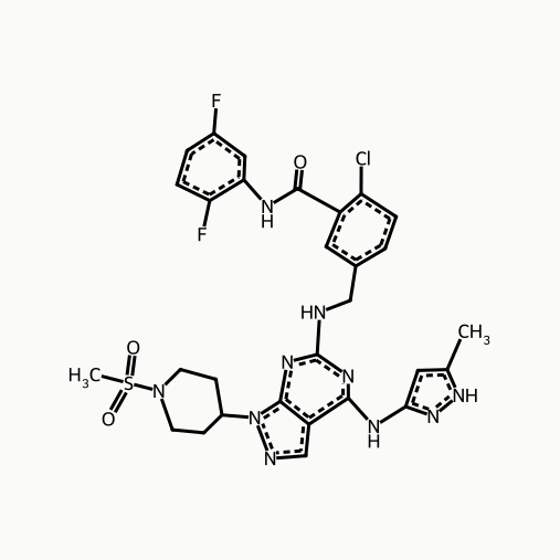 Cc1cc(Nc2nc(NCc3ccc(Cl)c(C(=O)Nc4cc(F)ccc4F)c3)nc3c2cnn3C2CCN(S(C)(=O)=O)CC2)n[nH]1